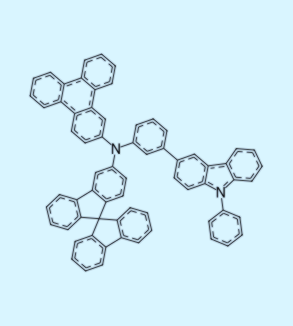 c1ccc(-n2c3ccccc3c3cc(-c4cccc(N(c5ccc6c(c5)-c5ccccc5C65c6ccccc6-c6ccccc65)c5ccc6c7ccccc7c7ccccc7c6c5)c4)ccc32)cc1